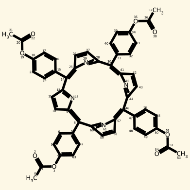 CC(=O)Oc1ccc(C2=C3C=CC(=N3)C(c3ccc(OC(C)=O)cc3)=C3C=CC(=N3)C(c3ccc(OC(C)=O)cc3)=C3C=CC(=N3)C(c3ccc(OC(C)=O)cc3)=C3C=CC2=N3)cc1